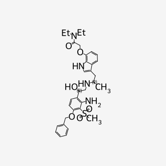 CCN(CC)C(=O)COc1cccc2c(C[C@@H](C)NC[C@H](O)c3ccc(OCc4ccccc4)c(S(C)(=O)=O)c3N)c[nH]c12